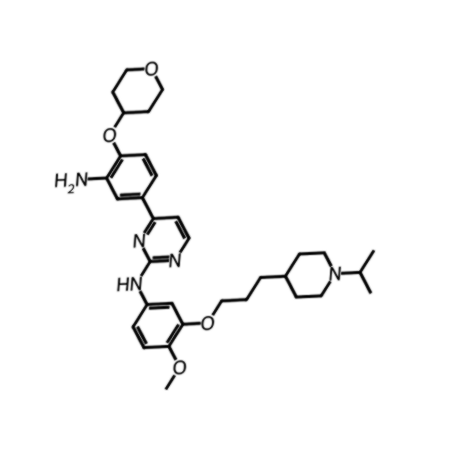 COc1ccc(Nc2nccc(-c3ccc(OC4CCOCC4)c(N)c3)n2)cc1OCCCC1CCN(C(C)C)CC1